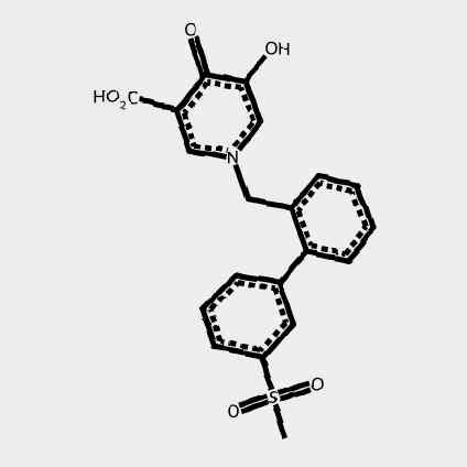 CS(=O)(=O)c1cccc(-c2ccccc2Cn2cc(O)c(=O)c(C(=O)O)c2)c1